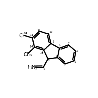 N=CC1c2ccccc2-c2ccc(Cl)c(Cl)c21